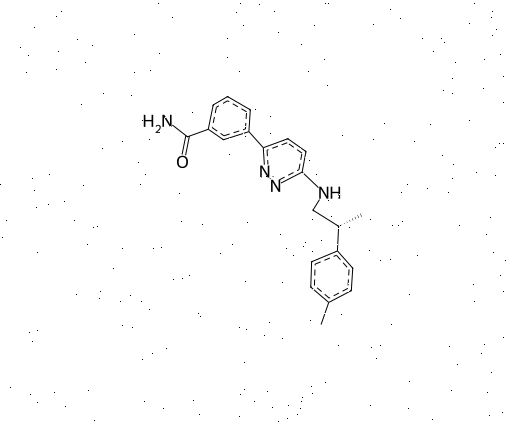 Cc1ccc([C@@H](C)CNc2ccc(-c3cccc(C(N)=O)c3)nn2)cc1